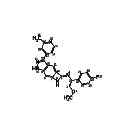 COC[C@@H](/N=C1\Nc2cc3[nH]nc(-c4ccnc(C)c4)c3cc21)c1ccc(F)cc1